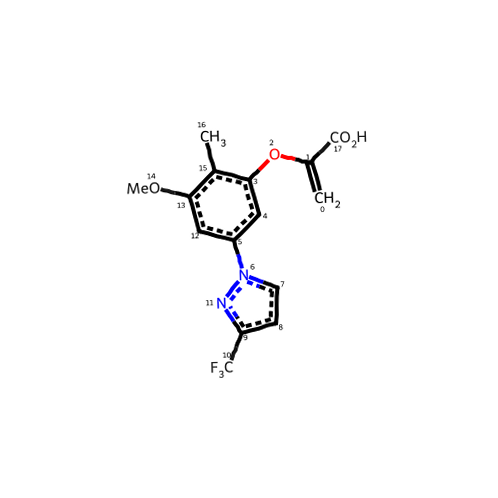 C=C(Oc1cc(-n2ccc(C(F)(F)F)n2)cc(OC)c1C)C(=O)O